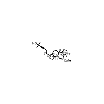 CO[C@@H]1C[C@H]2[C@@H]3CC[C@H]([C@H](C)CC#CC(C)(C)O)[C@@]3(C)CC[C@@H]2[C@@]2(C)CC[C@H]3C[C@]312